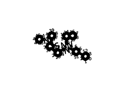 c1ccc(-c2ccc(-c3nc(-c4cccc5ccccc45)nc(-c4cccc5c4sc4c5ccc5c4c4ccccc4n5-c4ccccc4)n3)cc2)cc1